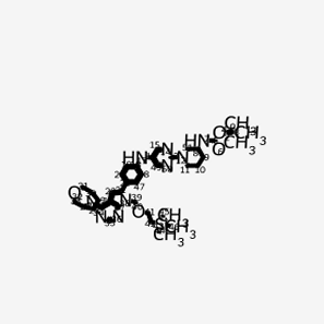 CC(C)(C)OC(=O)N[C@@H]1CCCN(c2ncc(Nc3ccc(-c4cc5c(N6C7CCC6COC7)ncnc5n4COCC[Si](C)(C)C)cc3)cn2)C1